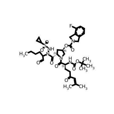 CCCCC(C=O)N(NS(=O)(=O)C1CC1)C(=O)[C@@H]1C[C@@H](OC(=O)N2Cc3cccc(F)c3C2)CN1C(=O)[C@H](CCC(=O)C=C(C)C)NC(=O)OC(C)(C)C